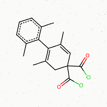 CC1=CC(C(=O)Cl)(C(=O)Cl)CC(C)=C1c1c(C)cccc1C